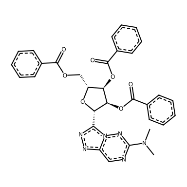 CN(C)c1ncc2nnc([C@@H]3O[C@H](COC(=O)c4ccccc4)[C@@H](OC(=O)c4ccccc4)[C@H]3OC(=O)c3ccccc3)n2n1